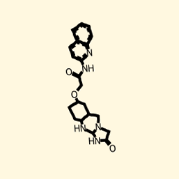 O=C(COC1CCC2NC3NC(=O)CN3CC2C1)Nc1ccc2ccccc2n1